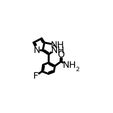 NC(=O)c1ccc(F)cc1-c1[nH][nH]c2ccnc1-2